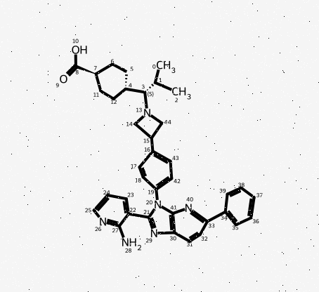 CC(C)[C@@H]([C@H]1CC[C@H](C(=O)O)CC1)N1CC(c2ccc(-n3c(-c4cccnc4N)nc4ccc(-c5ccccc5)nc43)cc2)C1